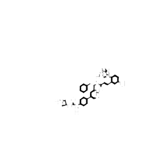 O=C(/C=C/c1cc(Cl)ccc1-n1cnnn1)N[C@@H](Cc1ccccc1)c1cc(-c2ccc(NC(=O)OC3CNC3)cc2)cnn1